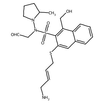 CC1CCCN1N(CC=O)S(=O)(=O)c1c(SCC=CCN)cc2ccccc2c1CO